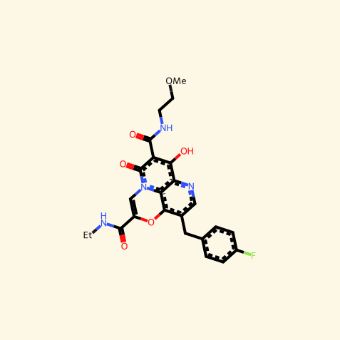 CCNC(=O)C1=Cn2c(=O)c(C(=O)NCCOC)c(O)c3ncc(Cc4ccc(F)cc4)c(c32)O1